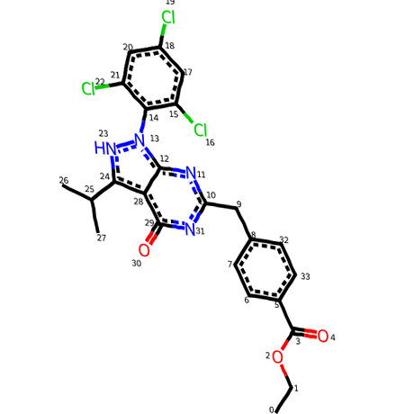 CCOC(=O)c1ccc(Cc2nc3n(-c4c(Cl)cc(Cl)cc4Cl)[nH]c(C(C)C)c-3c(=O)n2)cc1